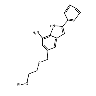 CC(C)OCCOCc1cc(N)c2[nH]c(-c3ccccc3)cc2c1